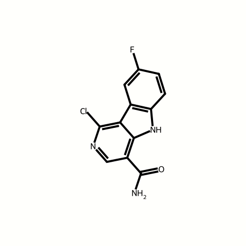 NC(=O)c1cnc(Cl)c2c1[nH]c1ccc(F)cc12